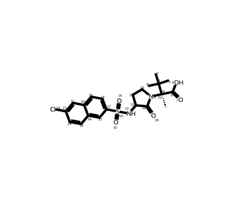 CC(C)(C)[C@@](C)(C(=O)O)N1CCC(NS(=O)(=O)c2ccc3cc(Cl)ccc3c2)C1=O